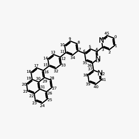 c1ccc(-c2cc(-c3cccc(-c4ccc(-c5ccc6ccc7cccc8ccc5c6c78)cc4)c3)cc(-c3ccccn3)n2)nc1